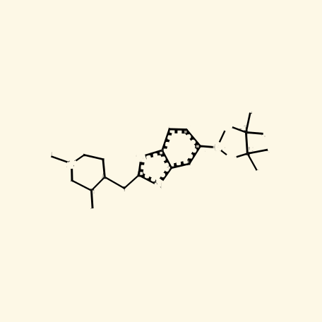 CC1CN(C)CCC1Cc1nc2cc(B3OC(C)(C)C(C)(C)O3)ccc2s1